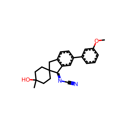 COc1cccc(-c2ccc3c(c2)/C(=N\C#N)C2(CCC(C)(O)CC2)C3)c1